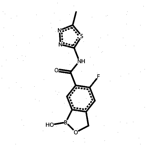 Cc1nnc(NC(=O)c2cc3c(cc2F)COB3O)s1